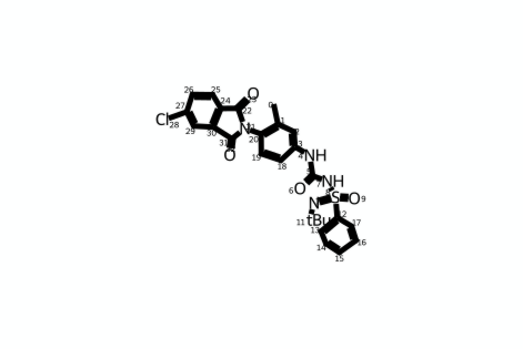 Cc1cc(NC(=O)NS(=O)(=NC(C)(C)C)c2ccccc2)ccc1N1C(=O)c2ccc(Cl)cc2C1=O